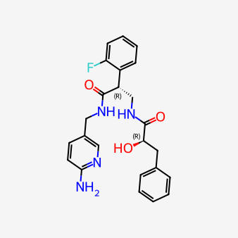 Nc1ccc(CNC(=O)[C@@H](CNC(=O)[C@H](O)Cc2ccccc2)c2ccccc2F)cn1